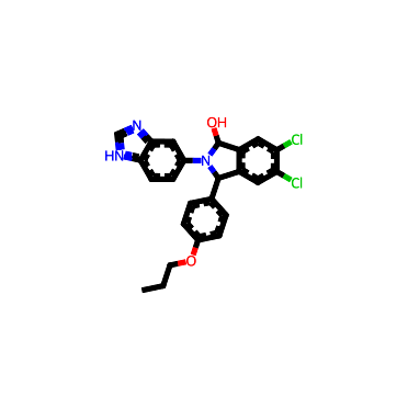 CCCOc1ccc(C2c3cc(Cl)c(Cl)cc3C(O)N2c2ccc3[nH]cnc3c2)cc1